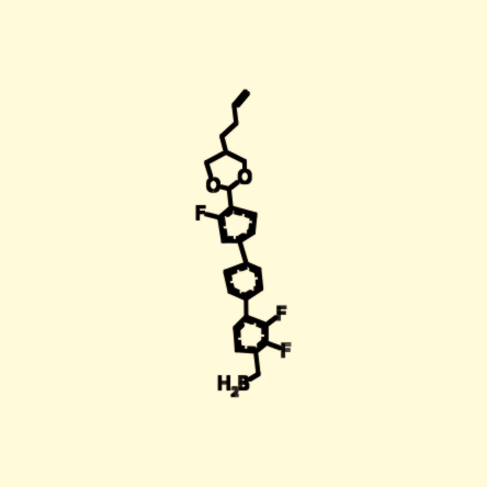 BCc1ccc(-c2ccc(-c3ccc(C4OCC(CCC=C)CO4)c(F)c3)cc2)c(F)c1F